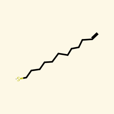 C=CCCCCCCCCCC[S]